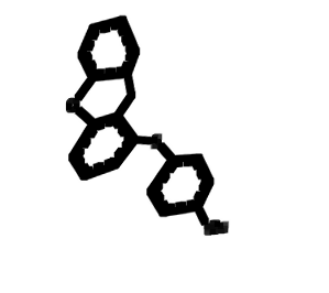 CC(C)(C)c1ccc(Sc2cccc3c2Cc2ccccc2O3)cc1